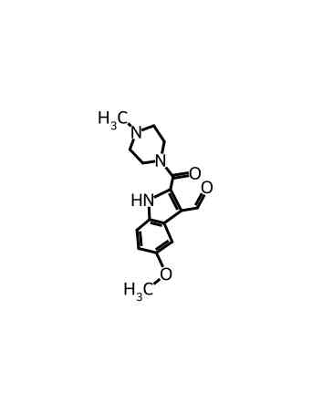 COc1ccc2[nH]c(C(=O)N3CCN(C)CC3)c(C=O)c2c1